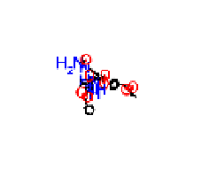 CCC(=O)OCc1ccc(OC(=O)[C@H](CCCNC(N)=O)NC(=O)[C@@H](NC(=O)OCc2ccccc2)C(C)C)cc1